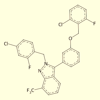 Fc1cc(Cl)ccc1Cn1nc2c(C(F)(F)F)cccc2c1-c1cccc(OCc2c(F)cccc2Cl)c1